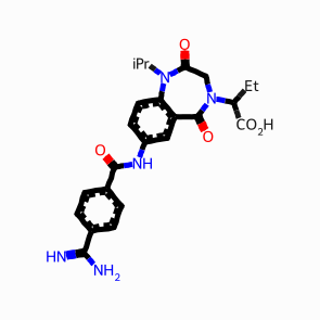 CCC(C(=O)O)N1CC(=O)N(C(C)C)c2ccc(NC(=O)c3ccc(C(=N)N)cc3)cc2C1=O